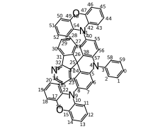 c1ccc(N2c3ccc(N4c5ccccc5Oc5ccccc54)cc3C3(c4ccccc4-c4ncccc43)c3cc(N4c5ccccc5Oc5ccccc54)ccc32)cc1